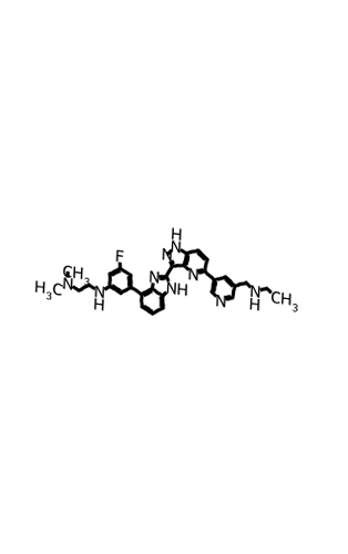 CCNCc1cncc(-c2ccc3[nH]nc(-c4nc5c(-c6cc(F)cc(NCCN(C)C)c6)cccc5[nH]4)c3n2)c1